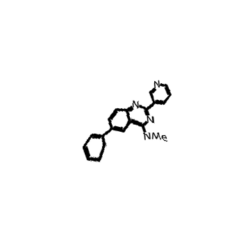 CNc1nc(-c2cccnc2)nc2ccc(C3=CC=CCC3)cc12